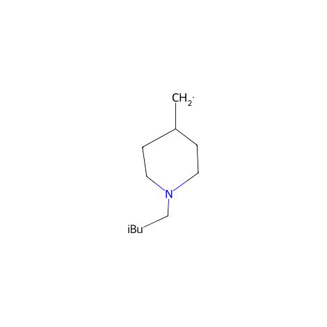 [CH2]C1CCN(CC(C)CC)CC1